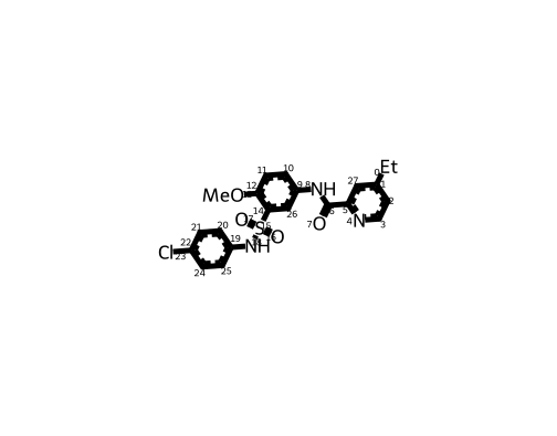 CCc1ccnc(C(=O)Nc2ccc(OC)c(S(=O)(=O)Nc3ccc(Cl)cc3)c2)c1